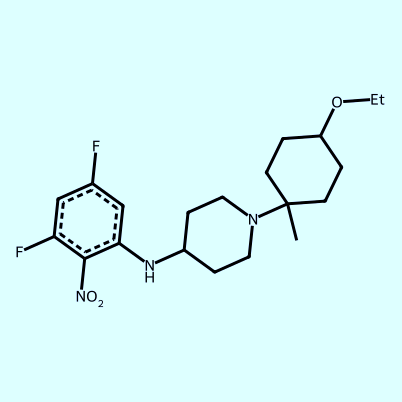 CCOC1CCC(C)(N2CCC(Nc3cc(F)cc(F)c3[N+](=O)[O-])CC2)CC1